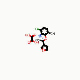 CCCC(Oc1c(C#N)ccc(Cl)c1N)c1ccoc1.O=C(O)C(=O)O